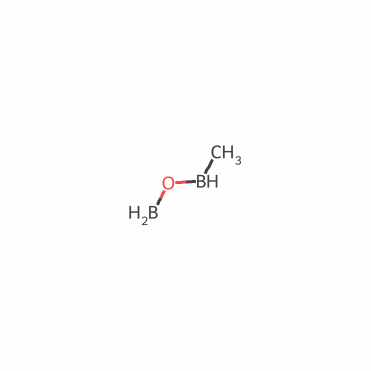 BOBC